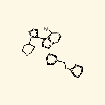 Nc1ncnn2c(-c3cccc(COc4ccccn4)c3)cc(-c3ccnn3C3CCOCC3)c12